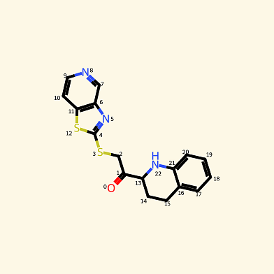 O=C(CSc1nc2cnccc2s1)C1CCc2ccccc2N1